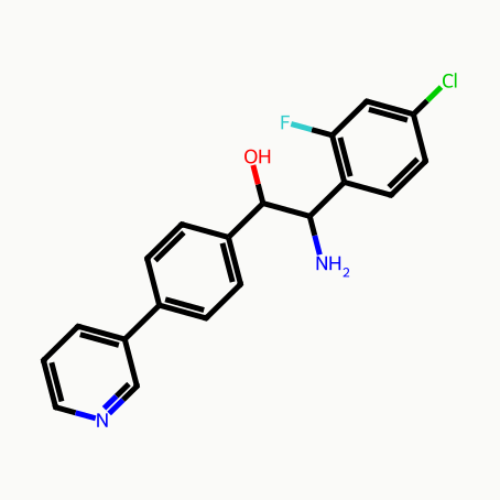 NC(c1ccc(Cl)cc1F)C(O)c1ccc(-c2cccnc2)cc1